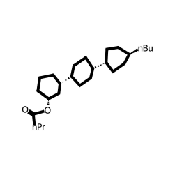 CCCC[C@H]1CC[C@H](C2CCC([C@H]3CCC[C@@H](OC(=O)CCC)C3)CC2)CC1